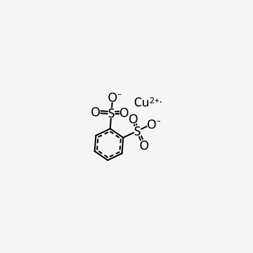 O=S(=O)([O-])c1ccccc1S(=O)(=O)[O-].[Cu+2]